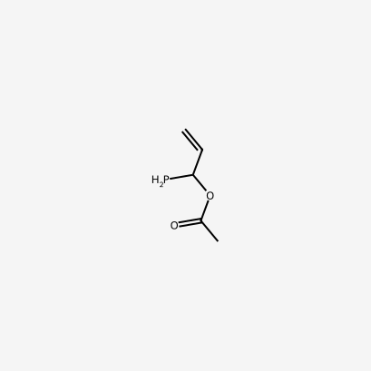 C=CC(P)OC(C)=O